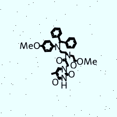 COC(=O)CN(CCN(c1ccc(OC)cc1)C(c1ccccc1)c1ccccc1)C(=O)Cn1cc(C)c(=O)[nH]c1=O